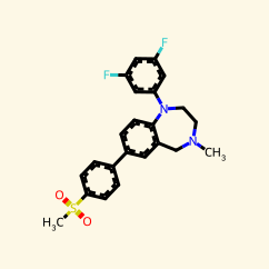 CN1CCN(c2cc(F)cc(F)c2)c2ccc(-c3ccc(S(C)(=O)=O)cc3)cc2C1